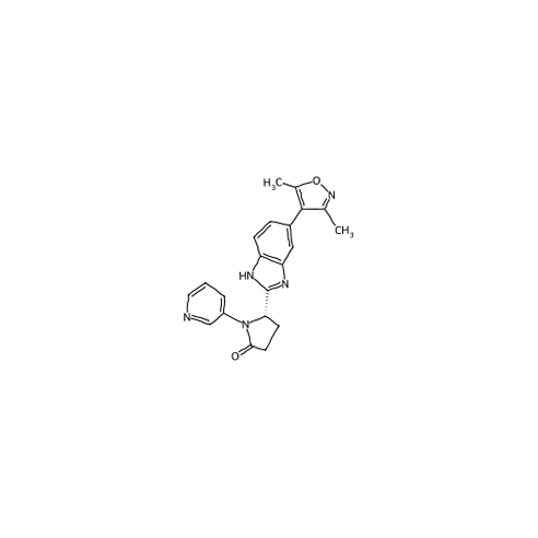 Cc1noc(C)c1-c1ccc2[nH]c([C@@H]3CCC(=O)N3c3cccnc3)nc2c1